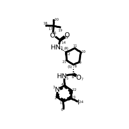 Cc1cnc(NC(=O)[C@H]2CCC[C@@H](NC(=O)OC(C)(C)C)C2)cc1I